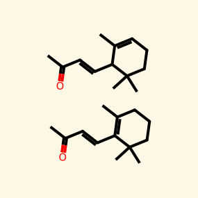 CC(=O)C=CC1=C(C)CCCC1(C)C.CC(=O)C=CC1C(C)=CCCC1(C)C